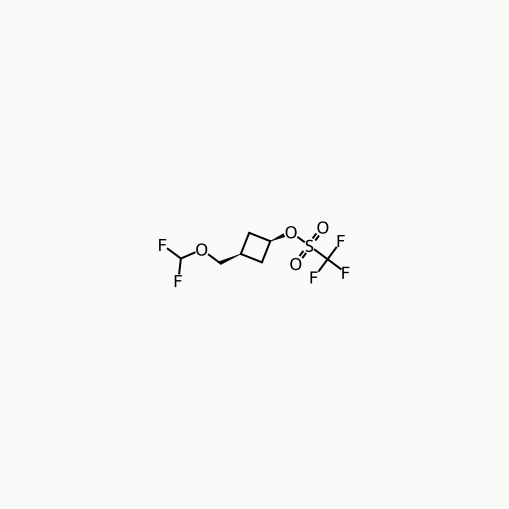 O=S(=O)(O[C@H]1C[C@@H](COC(F)F)C1)C(F)(F)F